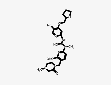 CN1CCN(Cc2ccc(N(C)C(O)Nc3cc(OCC4CCCO4)c(C#N)cn3)nc2C=O)C(=O)C1